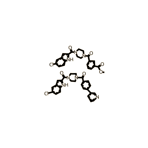 COC(=O)c1cccc(C(=O)N2CCN(C(=O)c3cc4cc(Cl)ccc4[nH]3)CC2)c1.O=C(c1ccc(-c2cccnc2)cc1)N1CCN(C(=O)c2cc3cc(Cl)ccc3[nH]2)CC1